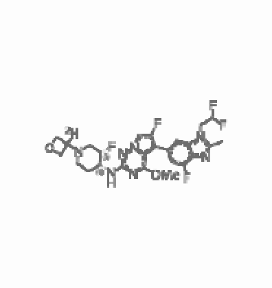 [2H]C1(N2CC[C@@H](Nc3nc(OC)c4c(-c5cc(F)c6nc(C)n(CC(F)F)c6c5)c(F)cn4n3)[C@@H](F)C2)COC1